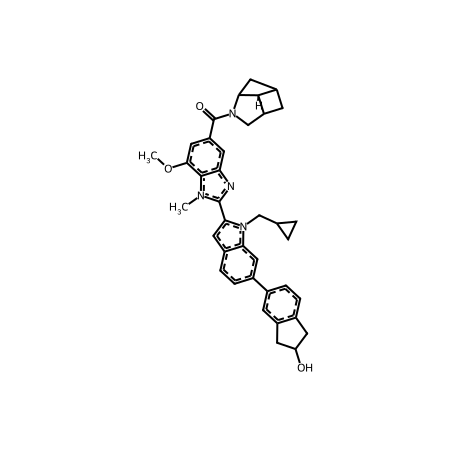 COc1cc(C(=O)N2CC3CC4CC2[C@H]43)cc2nc(-c3cc4ccc(-c5ccc6c(c5)CC(O)C6)cc4n3CC3CC3)n(C)c12